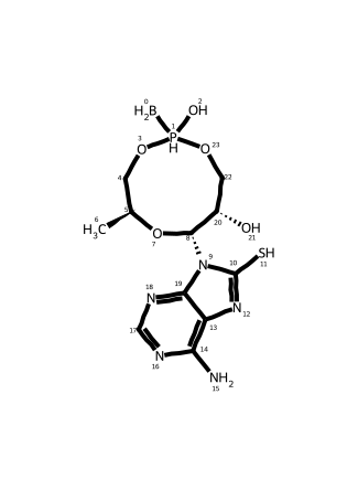 B[PH]1(O)OC[C@H](C)O[C@@H](n2c(S)nc3c(N)ncnc32)[C@@H](O)CO1